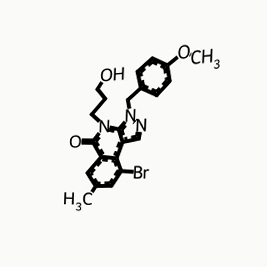 COc1ccc(Cn2ncc3c4c(Br)cc(C)cc4c(=O)n(CCCO)c32)cc1